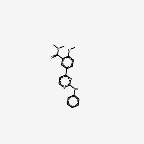 COc1ccc(-c2ccnc(Nc3ccccc3)n2)cc1C(=O)N(C)C